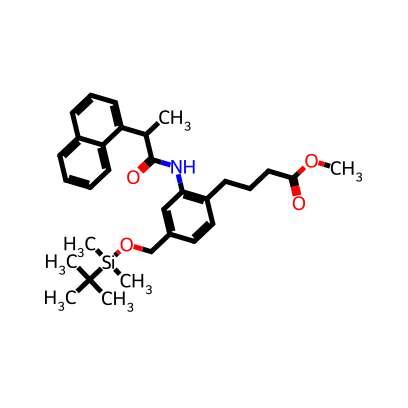 COC(=O)CCCc1ccc(CO[Si](C)(C)C(C)(C)C)cc1NC(=O)C(C)c1cccc2ccccc12